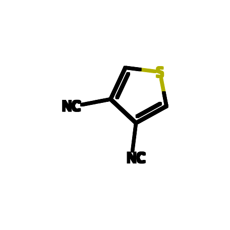 [C-]#[N+]c1cscc1C#N